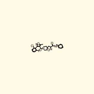 Cc1onc(-c2c(F)cccc2Cl)c1C(=O)N1CCC2(CC1)CC(C(=O)NCc1ccccc1)=NO2